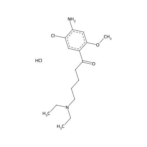 CCN(CC)CCCCC(=O)c1cc(Cl)c(N)cc1OC.Cl